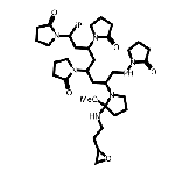 COC1(NCCC2CO2)CCCN1C(CPN1CCCC1=O)CC(CC(CC(C(C)C)N1CCCC1=O)N1CCCC1=O)N1CCCC1=O